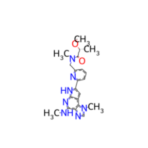 CNc1nc2[nH]c(-c3cccc(CN(C)C(=O)[C@@H](C)OC)n3)cc2c2c1ncn2C